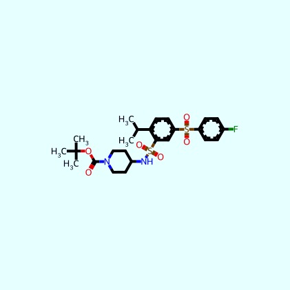 CC(C)c1ccc(S(=O)(=O)c2ccc(F)cc2)cc1S(=O)(=O)NC1CCN(C(=O)OC(C)(C)C)CC1